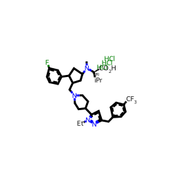 CCn1nc(Cc2ccc(C(F)(F)F)cc2)cc1C1CCN(CC2CC(N(C)[C@@H](C(=O)O)C(C)C)CC2c2cccc(F)c2)CC1.Cl.Cl.Cl